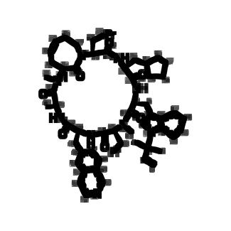 C=CC(C)(C)n1cc(C[C@@H]2NC(=O)[C@H](CC3CCCC3)NC(=O)[C@H](CC(C)C)N3CC/C=C\C[C@@H](C3=O)N(C)C(=O)[C@H](C)NC(=O)[C@H](Cc3ccc4cnccc4c3)NC(=O)[C@H](CC(C)C)N(C)C2=O)c2ccccc21